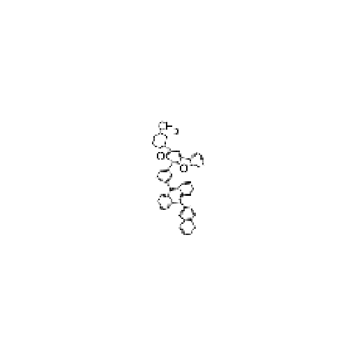 C[C@@H]1C=Cc2oc3c(-c4cccc(-c5c6ccccc6c(-c6ccc7c(c6)C=CCC7)c6ccccc56)c4)c4oc5ccccc5c4cc3c2C1